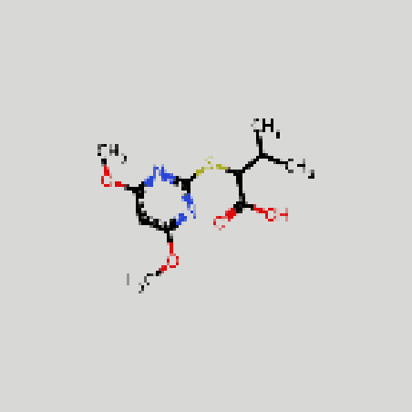 COc1cc(OC)nc(SC(C(=O)O)C(C)C)n1